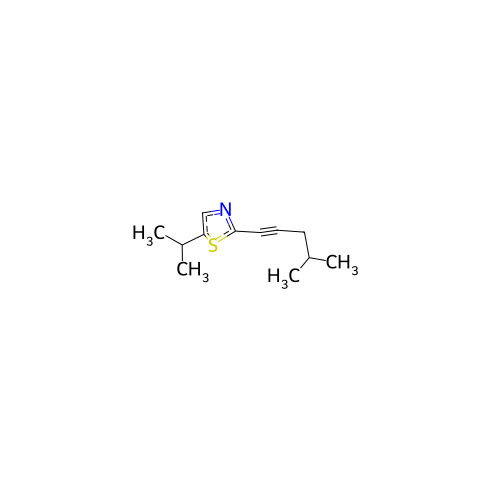 CC(C)CC#Cc1ncc(C(C)C)s1